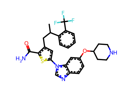 CC(Cc1cc(-n2cnc3ccc(OC4CCNCC4)cc32)sc1C(N)=O)c1ccccc1C(F)(F)F